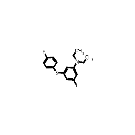 CCN(CC)c1cc(I)cc(Sc2ccc(F)cc2)c1